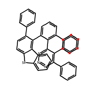 c1ccc(-c2cccc(-c3c(-c4ccccc4)ccc4[se]c5ccccc5c34)c2-c2nnnc(-c3ccccc3)c2-c2ccccc2)cc1